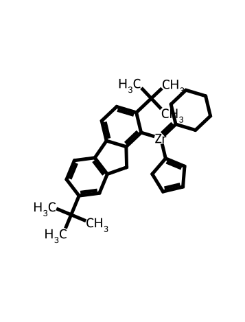 CC(C)(C)c1ccc2c(c1)Cc1c-2ccc(C(C)(C)C)[c]1[Zr]([C]1=CC=CC1)=[C]1CCCCC1